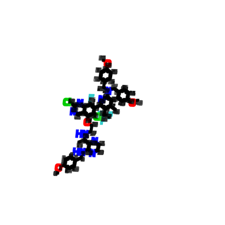 COc1ccc(CNc2nccnc2[C@@H](C)NCCOc2c(Cl)c(-c3nc(N(Cc4ccc(OC)cc4)Cc4ccc(OC)cc4)cc(C)c3C(F)(F)F)c(F)c3nc(Cl)ncc23)cc1